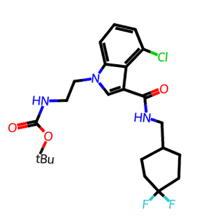 CC(C)(C)OC(=O)NCCn1cc(C(=O)NCC2CCC(F)(F)CC2)c2c(Cl)cccc21